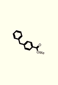 COC(=O)c1ccc(Cc2ccccc2)cc1